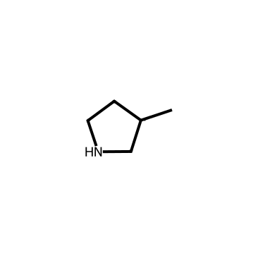 C[C]1CCNC1